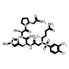 CC(C)(C)[C@H](NC(=O)[C@H](Cc1cn(C(C)(C)C)nn1)NC(=O)CN([C@@H](CCC(N)=O)C(=O)O)S(=O)(=O)c1ccc(Cl)c(C(F)(F)F)c1)C(=O)N1CCC[C@H]1CC(N)=O